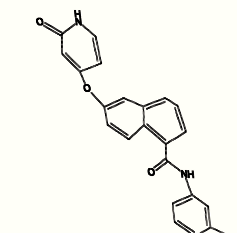 Cc1cccc(NC(=O)c2cccc3cc(Oc4cc[nH]c(=O)c4)ccc23)c1